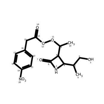 CC(CO)C1NC(=O)C1C(C)OOC(=O)Cc1ccc([N+](=O)[O-])cc1